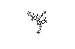 CC(C)(C)OC(=O)Nc1cc(F)c2c(c1)[nH]c(-c1nn(COCC[Si](C)(C)C)c3c1C[C@@H]1C[C@]1(C)C3)[n+]2COCC[Si](C)(C)C